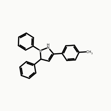 Cc1ccc(C2=CC(c3ccccc3)N(c3ccccc3)N2)cc1